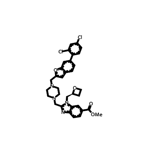 COC(=O)c1ccc2nc(CN3CCN(Cc4cc5ccc(-c6ccc(Cl)cc6Cl)cc5o4)CC3)n(C[C@@H]3CCO3)c2c1